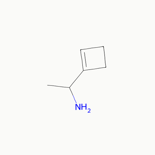 CC(N)C1=CCC1